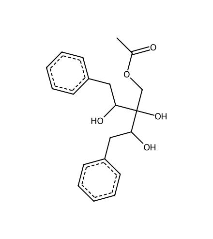 CC(=O)OCC(O)(C(O)Cc1ccccc1)C(O)Cc1ccccc1